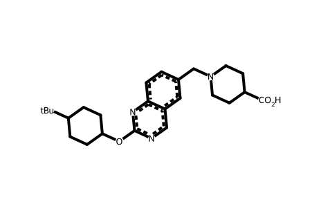 CC(C)(C)C1CCC(Oc2ncc3cc(CN4CCC(C(=O)O)CC4)ccc3n2)CC1